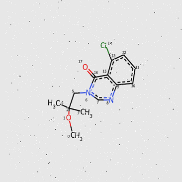 COC(C)(C)Cn1cnc2cccc(Cl)c2c1=O